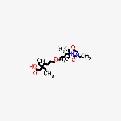 CCN1CC(=O)N(C(CC)(CC)CCCCOCCCCC(CC)(CC)CC(=O)O)C1=O